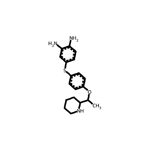 CC(Oc1ccc(Sc2ccc(N)c(N)c2)cc1)C1CCCCN1